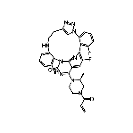 C=CC(=O)N1CCN(c2nc(=O)n3c4nc(c(F)cc24)-c2c(F)cccc2-n2cc(nn2)CCNc2cccc(C(C)C)c2-3)[C@@H](C)C1